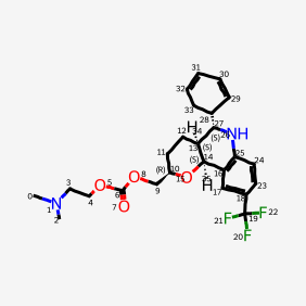 CN(C)CCOC(=O)OC[C@H]1CC[C@@H]2[C@H](O1)c1cc(C(F)(F)F)ccc1N[C@H]2C1C=CC=CC1